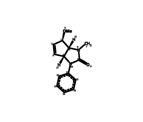 CO[C@@H]1C=C[C@@H]2[C@H]1N(C)C(=O)N2c1ccccc1